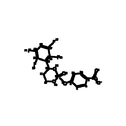 O=[N+]([O-])c1ccc(OP2(=O)OCCC(c3c(F)c(F)cc(F)c3F)O2)cc1